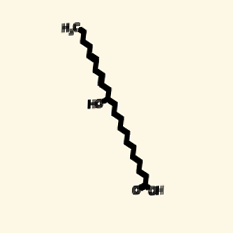 CCCCC=CCC=CCC(O)CCCCCCCCCCCC(=O)O